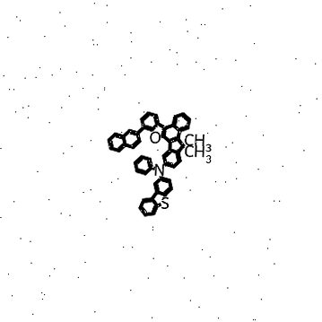 CC1(C)c2ccc(N(c3ccccc3)c3ccc4sc5ccccc5c4c3)cc2-c2c1c1ccccc1c1c2oc2c(-c3ccc4ccccc4c3)cccc21